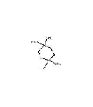 CCCCCCCCCC[N+]1(C)CC[N+](C)(CCCCCCCCCC)CC1